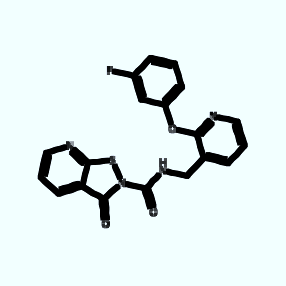 O=C(NCc1cccnc1Oc1cccc(F)c1)n1sc2ncccc2c1=O